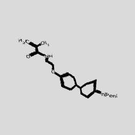 C=C(C)C(=O)NCCOC1CCC(C2CCC(CCCCC)CC2)CC1